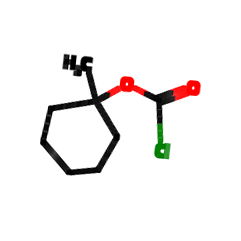 CC1(OC(=O)Cl)CCCCC1